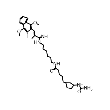 COc1c(I)c(/C=C(\C)C(=N)NCCCCCCNC(=O)CCCCC2CC(NC(N)=O)CS2)c(OC)c2ccccc12